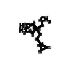 C=C[Si](CC)(CC)CCN1CC1